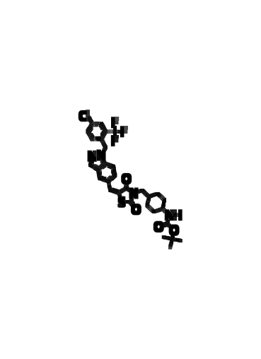 CC(C)(C)OC(=O)NC1CCC(CN2C(=O)S/C(=C/c3ccc4c(cnn4Cc4ccc(Cl)cc4C(F)(F)F)c3)C2=O)CC1